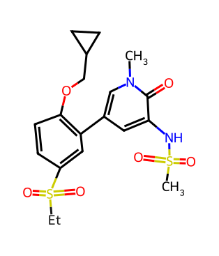 CCS(=O)(=O)c1ccc(OCC2CC2)c(-c2cc(NS(C)(=O)=O)c(=O)n(C)c2)c1